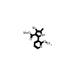 COC(=O)c1c(-c2cccnc2OC(F)(F)F)[nH]c(C)c1Br